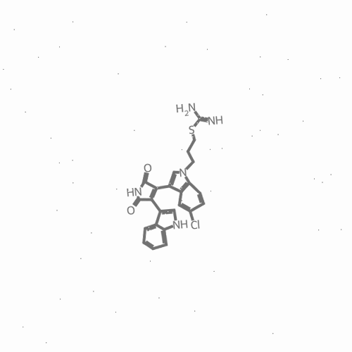 N=C(N)SCCCn1cc(C2=C(c3c[nH]c4ccccc34)C(=O)NC2=O)c2cc(Cl)ccc21